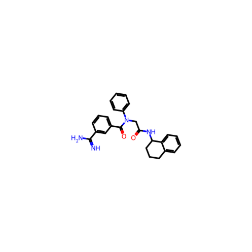 N=C(N)c1cccc(C(=O)N(CC(=O)NC2CCCc3ccccc32)c2ccccc2)c1